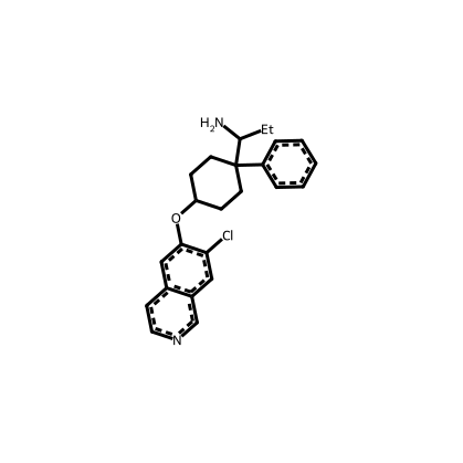 CCC(N)C1(c2ccccc2)CCC(Oc2cc3ccncc3cc2Cl)CC1